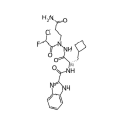 NC(=O)CCN(NC(=O)[C@H](CC1CCC1)NC(=O)c1nc2ccccc2[nH]1)C(=O)C(F)Cl